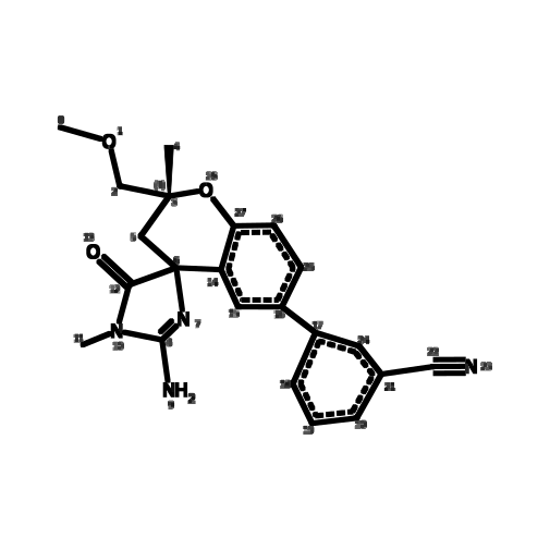 COC[C@@]1(C)CC2(N=C(N)N(C)C2=O)c2cc(-c3cccc(C#N)c3)ccc2O1